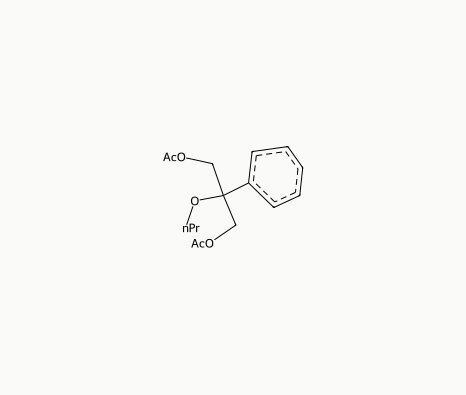 CCCOC(COC(C)=O)(COC(C)=O)c1ccccc1